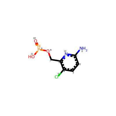 Nc1ccc(Cl)c(CO[PH](=O)O)n1